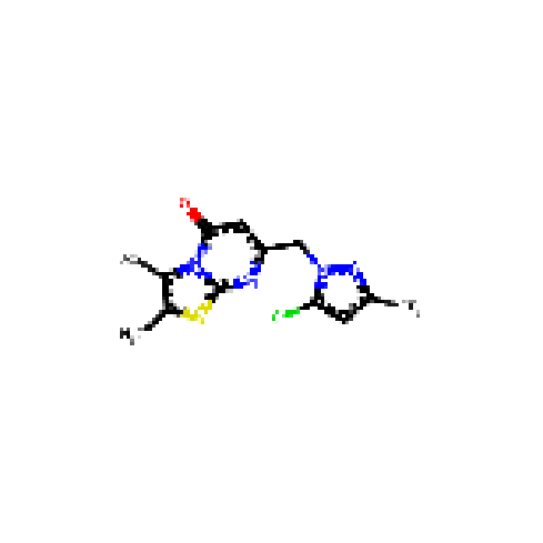 CC(=O)c1c(C)sc2nc(Cn3nc(C(F)(F)F)cc3Cl)cc(=O)n12